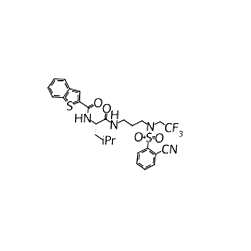 CC(C)C[C@H](NC(=O)c1cc2ccccc2s1)C(=O)NCCCN(CC(F)(F)F)S(=O)(=O)c1ccccc1C#N